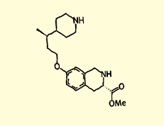 COC(=O)[C@@H]1Cc2ccc(OCC[C@@H](C)C3CCNCC3)cc2CN1